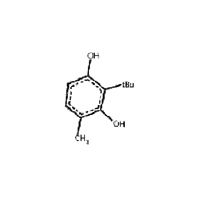 Cc1ccc(O)c(C(C)(C)C)c1O